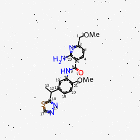 COCc1ccc(C(=O)Nc2cc(C(C)c3nncs3)ccc2OC)c(N)n1